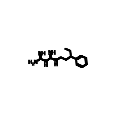 CCC(CCNC(=N)NC(=N)N)c1ccccc1